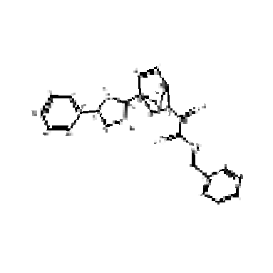 O=C(OCc1ccccc1)C(=O)C1CC2(C3OCC(c4ccccc4)O3)C=CC1O2